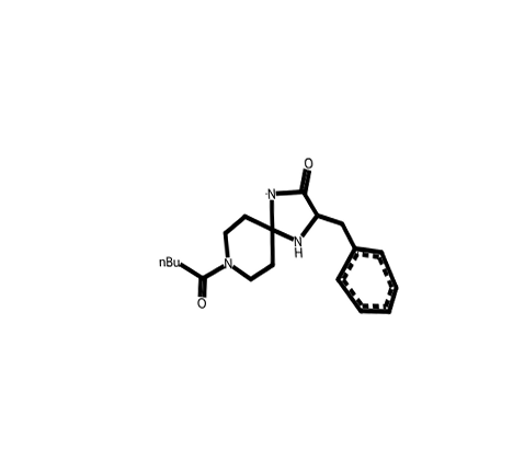 CCCCC(=O)N1CCC2(CC1)[N]C(=O)C(Cc1ccccc1)N2